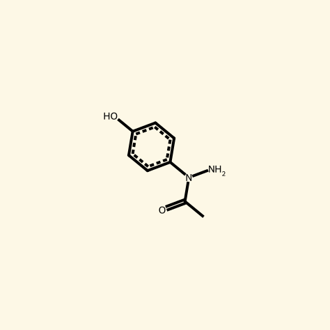 CC(=O)N(N)c1ccc(O)cc1